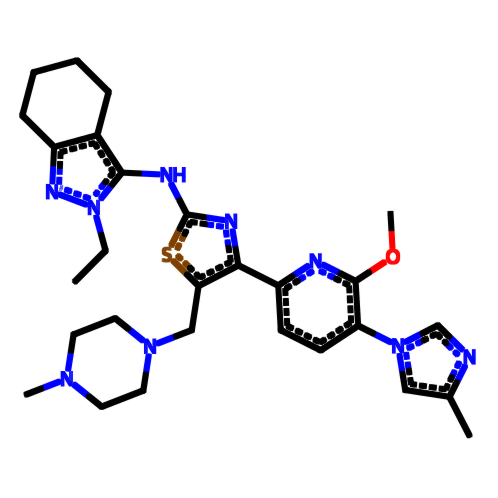 CCn1nc2c(c1Nc1nc(-c3ccc(-n4cnc(C)c4)c(OC)n3)c(CN3CCN(C)CC3)s1)CCCC2